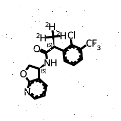 [2H]C([2H])([2H])[C@H](C(=O)N[C@@H]1COc2ncccc21)c1cccc(C(F)(F)F)c1Cl